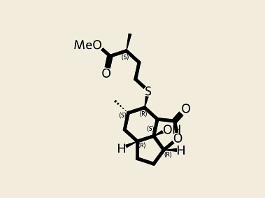 COC(=O)[C@@H](C)CCS[C@H]1C2C(=O)O[C@@H]3CC[C@H](C[C@@H]1C)[C@]23O